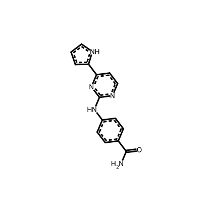 NC(=O)c1ccc(Nc2nccc(-c3ccc[nH]3)n2)cc1